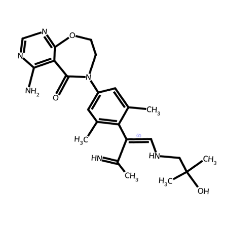 CC(=N)/C(=C\NCC(C)(C)O)c1c(C)cc(N2CCOc3ncnc(N)c3C2=O)cc1C